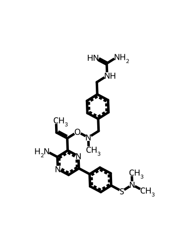 C/C=C(\ON(C)Cc1ccc(CNC(=N)N)cc1)c1nc(-c2ccc(SN(C)C)cc2)cnc1N